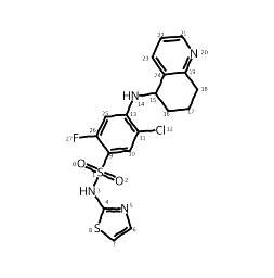 O=S(=O)(Nc1nccs1)c1cc(Cl)c(NC2CCCc3ncccc32)cc1F